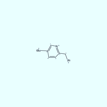 CC(C)Cc1ccc(C(C)(C)C)cn1